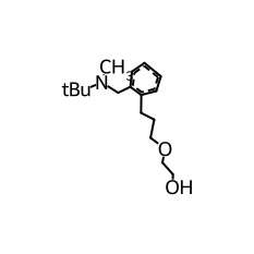 CN(Cc1ccccc1CCCOCCO)C(C)(C)C